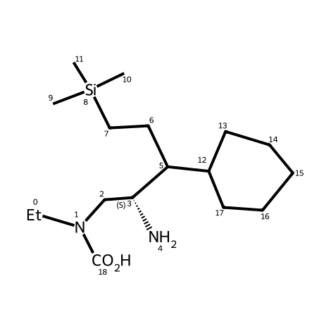 CCN(C[C@@H](N)C(CC[Si](C)(C)C)C1CCCCC1)C(=O)O